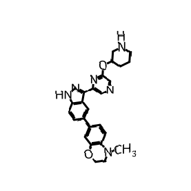 CN1CCOc2cc(-c3ccc4[nH]nc(-c5cncc(OC6CCCNC6)n5)c4c3)ccc21